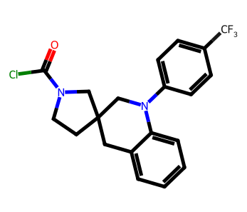 O=C(Cl)N1CCC2(Cc3ccccc3N(c3ccc(C(F)(F)F)cc3)C2)C1